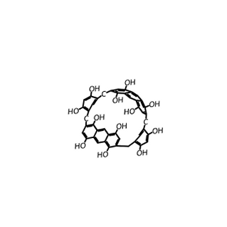 Oc1cc(O)c2cc1Cc1cc(O)c3cc4c(O)c(cc(O)c4cc3c1O)Cc1cc(c(O)cc1O)Cc1cc(O)c3cc4c(O)c(cc(O)c4cc3c1O)C2